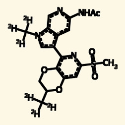 [2H]C([2H])([2H])C1COc2c(cc(S(C)(=O)=O)nc2-c2cn(C([2H])([2H])[2H])c3cnc(NC(C)=O)cc23)O1